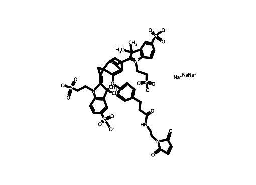 CC1(C)C(=C2CC23C(Oc2ccc(CCC(=O)NCCN4C(=O)C=CC4=O)cc2)=C2CCC3C=C2C2=[N+](CCS(=O)(=O)[O-])c3ccc(S(=O)(=O)[O-])cc3C2(C)C)N(CCS(=O)(=O)[O-])c2ccc(S(=O)(=O)[O-])cc21.[Na+].[Na+].[Na+]